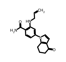 C=CCNc1cc(-n2ccc3c2CCCC3=O)ccc1C(N)=O